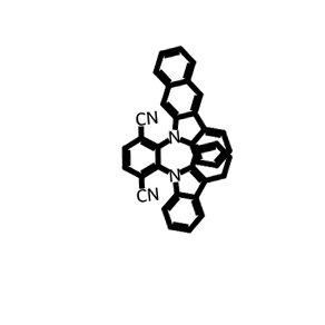 N#Cc1ccc(C#N)c(-n2c3ccccc3c3cc4ccccc4cc32)c1-n1c2c(c3ccccc31)CCC=C2